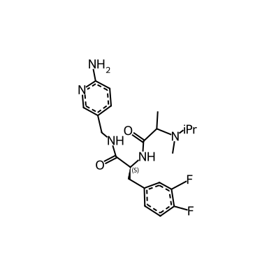 CC(C)N(C)C(C)C(=O)N[C@@H](Cc1ccc(F)c(F)c1)C(=O)NCc1ccc(N)nc1